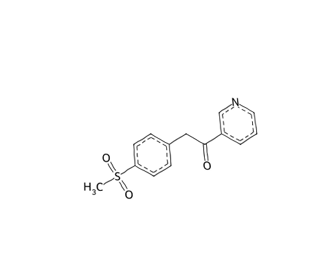 CS(=O)(=O)c1ccc(CC(=O)c2cccnc2)cc1